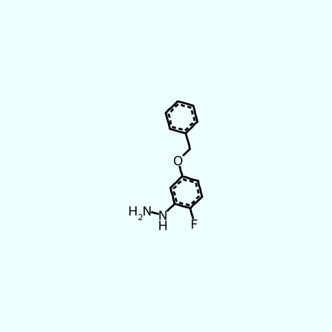 NNc1cc(OCc2ccccc2)ccc1F